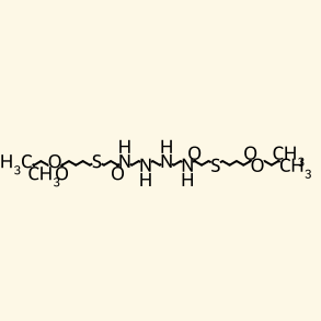 CC(C)CCOC(=O)CCCCSCCC(=O)NCCNCCNCCNC(=O)CCSCCCCC(=O)OCCC(C)C